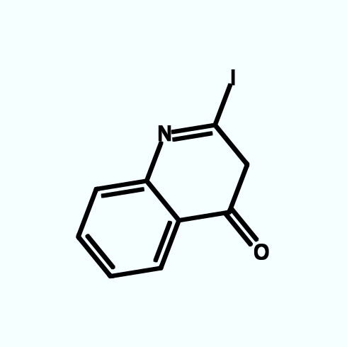 O=C1CC(I)=Nc2ccccc21